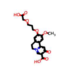 COc1cc2c(cc1OCCCOCC(=O)O)CCn1cc(C(=O)O)c(=O)cc1-2